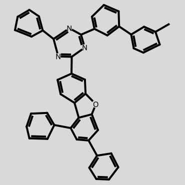 Cc1cccc(-c2cccc(-c3nc(-c4ccccc4)nc(-c4ccc5c(c4)oc4cc(-c6ccccc6)cc(-c6ccccc6)c45)n3)c2)c1